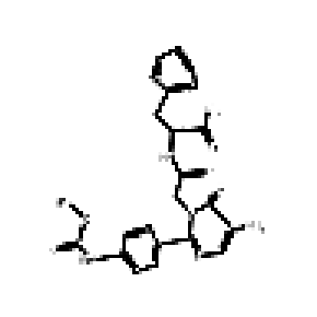 CC(C)OC(=O)Nc1ccc(-c2ncc(N)c(=O)n2CC(=O)NC(Cc2ccccc2)C(=O)C(F)(F)F)cc1